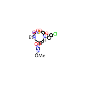 CCN1CC=C[C@H](OC(=O)N2CCN(CCOC)CC2)[C@@H]2CC[C@H]2CN2C[C@@]3(CCCc4cc(Cl)ccc43)COc3ccc(cc32)S(=O)(=O)NC(=O)C1(C)C